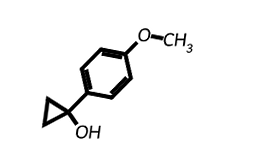 COc1ccc(C2(O)CC2)cc1